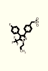 C=CCn1nc(-c2ccc(C[SH](=O)=O)cc2)c(-c2ccc(F)cc2)c1C(F)(F)F